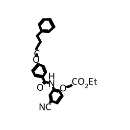 CCOC(=O)COc1ccc(C#N)cc1NC(=O)c1ccc(OCCCCc2ccccc2)cc1